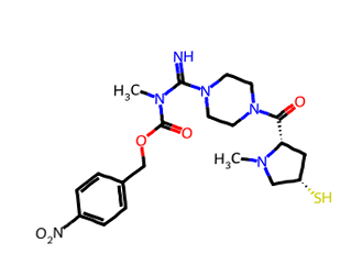 CN(C(=N)N1CCN(C(=O)[C@@H]2C[C@H](S)CN2C)CC1)C(=O)OCc1ccc([N+](=O)[O-])cc1